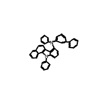 c1ccc(-c2cccc(N(c3ccccc3)c3cccc4c3c3ccc5ccccc5c3n4-c3ccccc3)c2)cc1